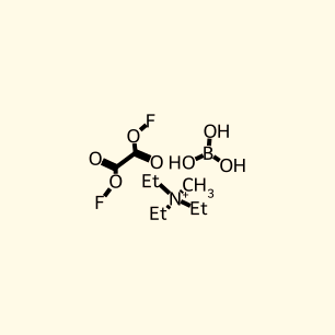 CC[N+](C)(CC)CC.O=C(OF)C(=O)OF.OB(O)O